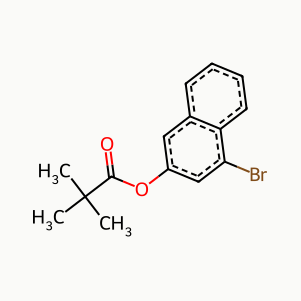 CC(C)(C)C(=O)Oc1cc(Br)c2ccccc2c1